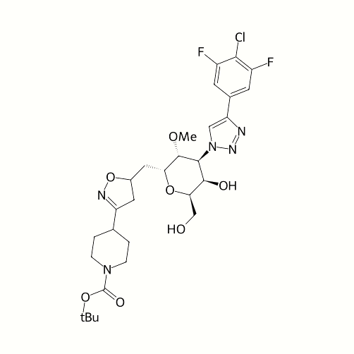 CO[C@@H]1[C@@H](n2cc(-c3cc(F)c(Cl)c(F)c3)nn2)[C@@H](O)[C@@H](CO)O[C@@H]1CC1CC(C2CCN(C(=O)OC(C)(C)C)CC2)=NO1